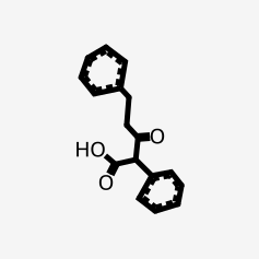 O=C(O)C(C(=O)CCc1ccccc1)c1ccccc1